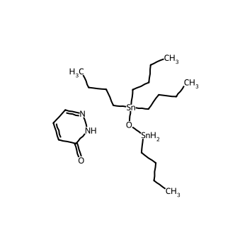 CCC[CH2][SnH2][O][Sn]([CH2]CCC)([CH2]CCC)[CH2]CCC.O=c1cccn[nH]1